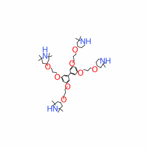 CC1(C)CC(OCCCOc2cc(OCCCOC3CCNC(C)(C)C3)cc(-c3cc(OCCCOC4CC(C)(C)NC(C)(C)C4)cc(OCCCOC4CC(C)(C)NC(C)(C)C4)c3)c2)CCN1